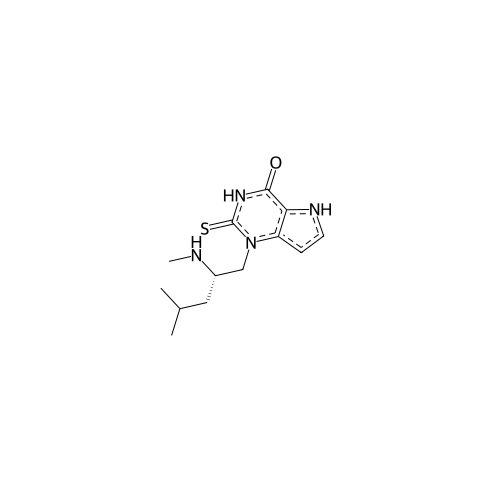 CN[C@@H](CC(C)C)Cn1c(=S)[nH]c(=O)c2[nH]ccc21